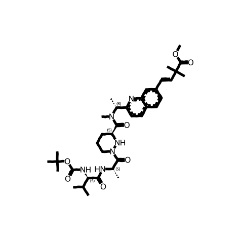 COC(=O)C(C)(C)C=Cc1ccc2ccc([C@@H](C)N(C)C(=O)[C@@H]3CCCN(C(=O)[C@H](C)NC(=O)[C@@H](NC(=O)OC(C)(C)C)C(C)C)N3)nc2c1